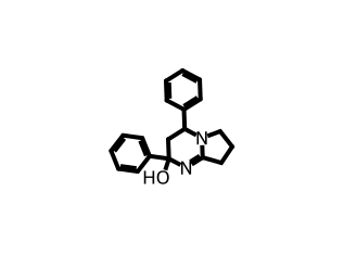 OC1(c2ccccc2)CC(c2ccccc2)N2CCCC2=N1